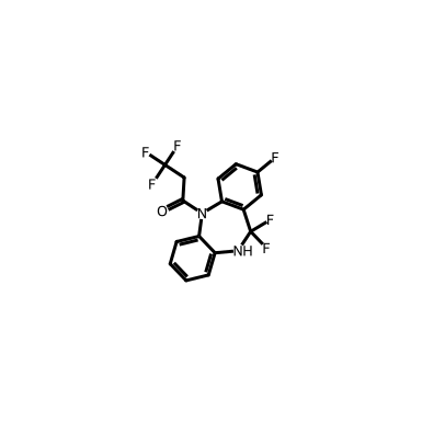 O=C(CC(F)(F)F)N1c2ccccc2NC(F)(F)c2cc(F)ccc21